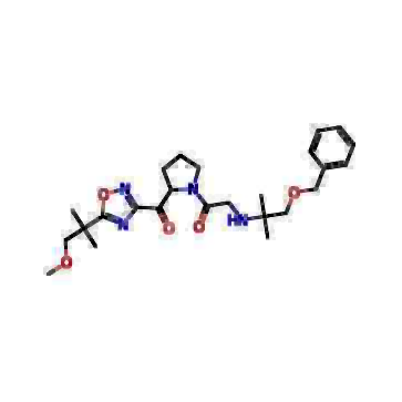 COCC(C)(C)c1nc(C(=O)C2CCCN2C(=O)CNC(C)(C)COCc2ccccc2)no1